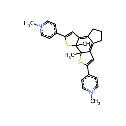 C[n+]1ccc(C2=CC3=C4CCCC4=C4C=C(c5cc[n+](C)cc5)SC4(C)C3(C)S2)cc1